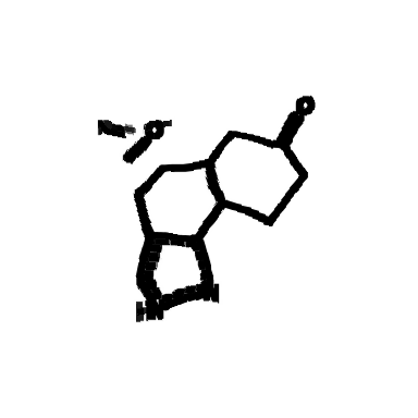 C[O-].O=C1CCC2c3n[nH]cc3CCC2C1.[Na+]